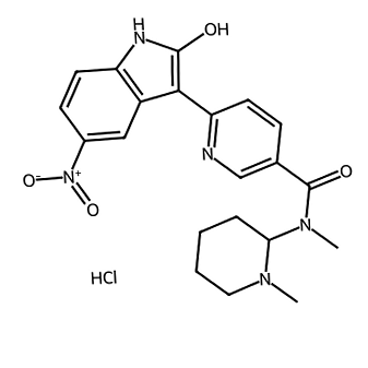 CN1CCCCC1N(C)C(=O)c1ccc(-c2c(O)[nH]c3ccc([N+](=O)[O-])cc23)nc1.Cl